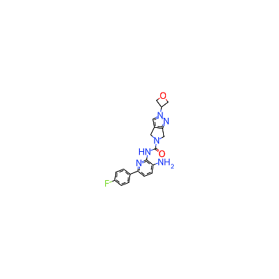 Nc1ccc(-c2ccc(F)cc2)nc1NC(=O)N1Cc2cn(C3COC3)nc2C1